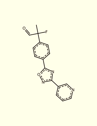 CC(F)(C=O)c1ccc(-c2nc(-c3cccnc3)no2)cc1